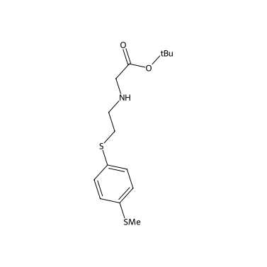 CSc1ccc(SCCNCC(=O)OC(C)(C)C)cc1